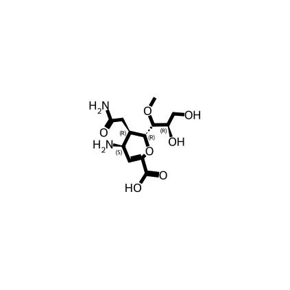 COC([C@H](O)CO)[C@@H]1OC(C(=O)O)=C[C@@H](N)[C@H]1CC(N)=O